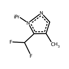 Cc1cnn(C(C)C)c1C(F)F